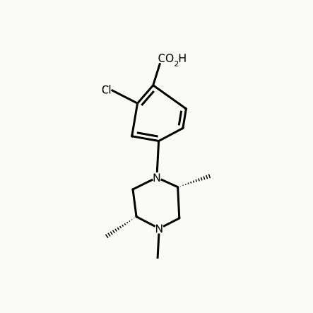 C[C@@H]1CN(c2ccc(C(=O)O)c(Cl)c2)[C@H](C)CN1C